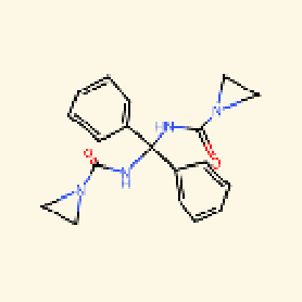 O=C(NC(NC(=O)N1CC1)(c1ccccc1)c1ccccc1)N1CC1